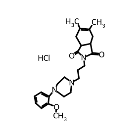 COc1ccccc1N1CCN(CCCN2C(=O)C3CC(C)=C(C)CC3C2=O)CC1.Cl